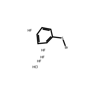 BrSc1ccccc1.Cl.F.F.F.F